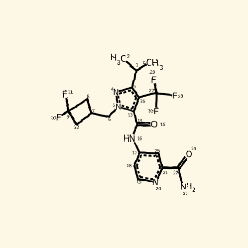 CC(C)c1nn(CC2CC(F)(F)C2)c(C(=O)Nc2ccnc(C(N)=O)c2)c1C(F)(F)F